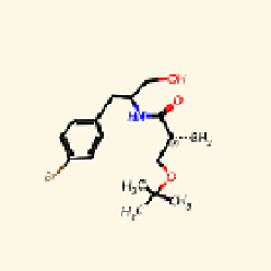 B[C@H](COC(C)(C)C)C(=O)NC(CO)Cc1ccc(Br)cc1